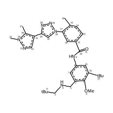 COc1c(CNCC(C)(C)C)cc(NC(=O)c2ccc(C)c(-n3cc(-c4cnn(C)c4C)nn3)c2)cc1C(C)(C)C